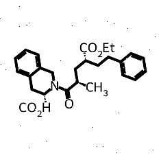 CCOC(=O)[C@H](CCc1ccccc1)C[C@@H](C)C(=O)N1Cc2ccccc2C[C@H]1C(=O)O